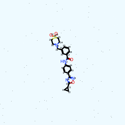 O=C(Nc1ccc(-c2noc(C3CC3)n2)cc1)c1cccc(CN2CCS(=O)(=O)CC2)c1